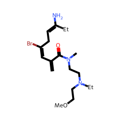 C=C(/C=C(/Br)C/C=C(/N)CC)C(=O)N(C)CCN(CC)CCOC